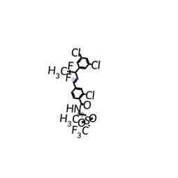 C[C@H](CS(=O)(=O)CC(F)(F)F)NC(=O)c1ccc(/C=C/C(c2cc(Cl)cc(Cl)c2)C(C)(F)F)cc1Cl